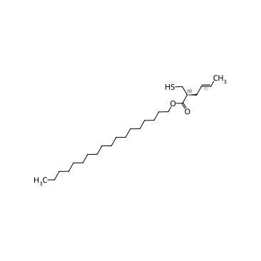 C/C=C/C[C@H](CS)C(=O)OCCCCCCCCCCCCCCCCCC